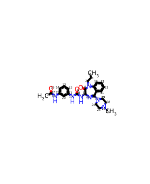 CCCN1C(=O)[C@H](NC(=O)Nc2cccc(NC(C)=O)c2)N=C(N2CCN(C)CC2)c2ccccc21